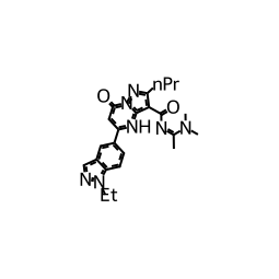 CCCc1nn2c(=O)cc(-c3ccc4c(cnn4CC)c3)[nH]c2c1C(=O)N=C(C)N(C)C